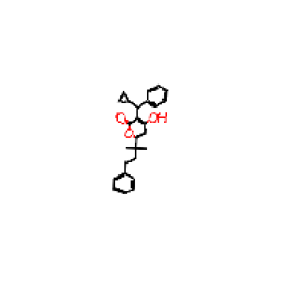 CC(C)(CCc1ccccc1)c1cc(O)c(C(c2ccccc2)C2CC2)c(=O)o1